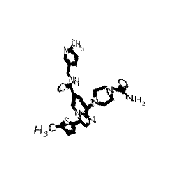 Cc1ccc(CNC(=O)C2=CN3C(=NCC3c3ccc(C)s3)C(N3CCN(C(N)=O)CC3)=C2)cn1